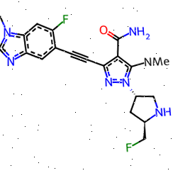 CNc1c(C(N)=O)c(C#Cc2cc3ncn(C)c3cc2F)nn1[C@@H]1CN[C@@H](CF)C1